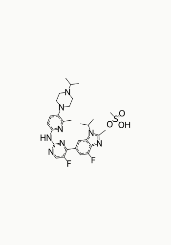 CS(=O)(=O)O.Cc1nc(Nc2ncc(F)c(-c3cc(F)c4nc(C)n(C(C)C)c4c3)n2)ccc1N1CCN(C(C)C)CC1